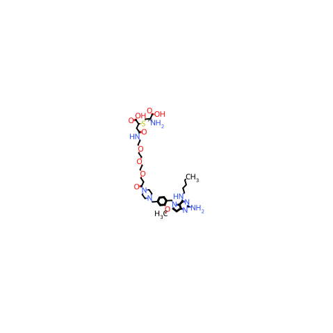 CCCCCNc1nc(N)nc2ccn(Cc3ccc(CN4CCN(C(=O)CCOCCOCCOCCNC(=O)CC(SC[C@H](N)C(=O)O)C(=O)O)CC4)cc3OC)c12